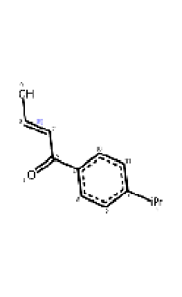 CC(C)c1ccc(C(=O)/C=C/O)cc1